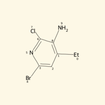 CCc1cc(Br)nc(Cl)c1N